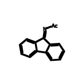 CC(=O)N=C1c2ccccc2-c2ccccc21